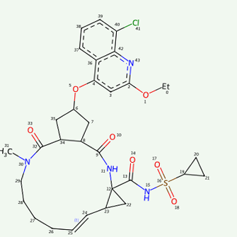 CCOc1cc(OC2CC3C(=O)NC4(C(=O)NS(=O)(=O)C5CC5)CC4/C=C/CCCCN(C)C(=O)C3C2)c2cccc(Cl)c2n1